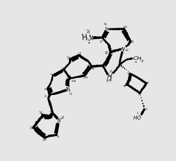 CC1([C@H]2C[C@@H](CO)C2)NC(c2ccc3ccc(-c4ccccn4)nc3c2)=C2C(N)=NC=CN21